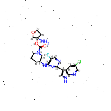 N[C@]1(OC(=O)N2CCC[C@H](Nc3nc(-c4c[nH]c5ncc(Cl)cc45)ncc3F)C2)CCOC1